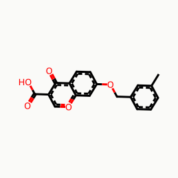 Cc1cccc(COc2ccc3c(=O)c(C(=O)O)coc3c2)c1